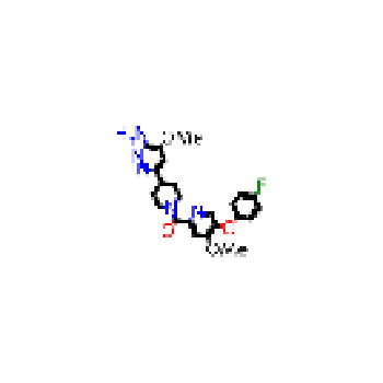 COc1cc(C(=O)N2CCC(c3cc(OC)c(N)nn3)CC2)ncc1Oc1ccc(F)cc1